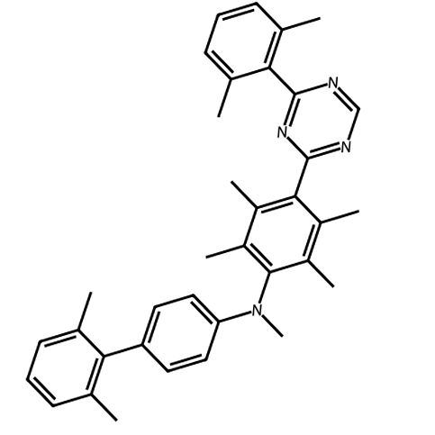 Cc1cccc(C)c1-c1ccc(N(C)c2c(C)c(C)c(-c3ncnc(-c4c(C)cccc4C)n3)c(C)c2C)cc1